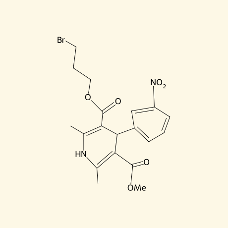 COC(=O)C1=C(C)NC(C)=C(C(=O)OCCCBr)C1c1cccc([N+](=O)[O-])c1